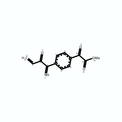 C=CC(=O)C(=N)c1ccc(C(=O)C(=O)OC)cc1